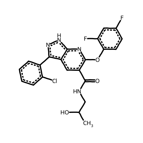 CC(O)CNC(=O)c1cc2c(-c3ccccc3Cl)n[nH]c2nc1Oc1ccc(F)cc1F